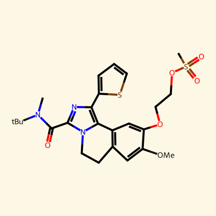 COc1cc2c(cc1OCCOS(C)(=O)=O)-c1c(-c3cccs3)nc(C(=O)N(C)C(C)(C)C)n1CC2